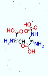 C[C@H](N)C(=O)O.N[C@@H](CNS(=O)(=O)O)C(=O)O